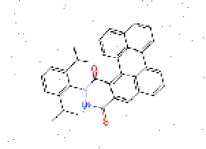 CC(C)c1cccc(C(C)C)c1NC(=O)c1c(C(N)=O)cc2cccc3c4cccc5cccc(c1c23)c54